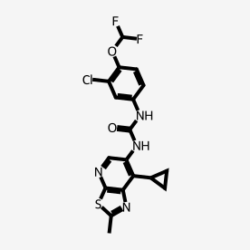 Cc1nc2c(C3CC3)c(NC(=O)Nc3ccc(OC(F)F)c(Cl)c3)cnc2s1